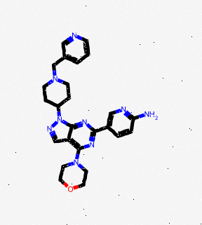 Nc1ccc(-c2nc(N3CCOCC3)c3cnn(C4CCN(Cc5cccnc5)CC4)c3n2)cn1